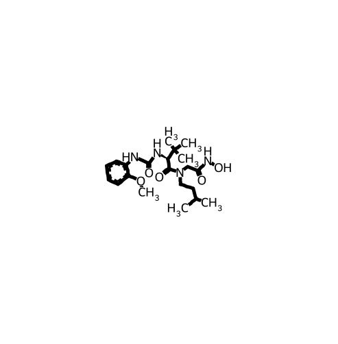 COc1ccccc1NC(=O)N[C@H](C(=O)N(CCC(C)C)CC(=O)NO)C(C)(C)C